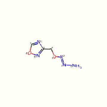 NN=NOCc1ncon1